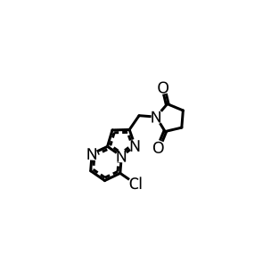 O=C1CCC(=O)N1Cc1cc2nccc(Cl)n2n1